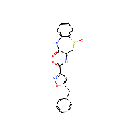 O=C(N[C@@H]1C[S+]([O-])c2ccccc2NC1=O)c1cc(Cc2ccccc2)on1